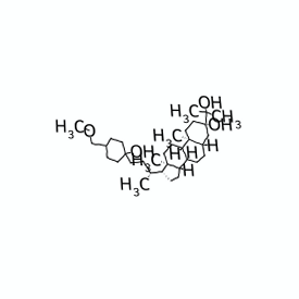 COCC1CCC(O)(CC[C@@H](C)[C@H]2CC[C@H]3[C@@H]4CC[C@H]5C[C@](O)(C(C)(C)O)CC[C@]5(C)[C@H]4CC[C@]23C)CC1